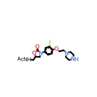 CC(=O)NCC1CN(c2ccc(OCCN3CCNCC3)c(F)c2)C(=O)O1